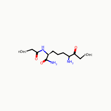 CCCCCCCCCCCC(=O)N[C@@H](CCCC(N)C(=O)CCCCCCCCCCC)C(N)=O